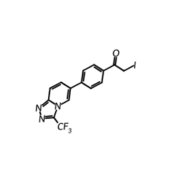 O=C(CI)c1ccc(-c2ccc3nnc(C(F)(F)F)n3c2)cc1